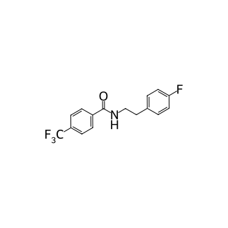 O=C(NCCc1ccc(F)cc1)c1ccc(C(F)(F)F)cc1